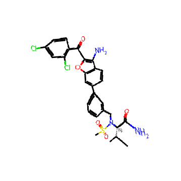 CC(C)[C@@H](C(N)=O)N(Cc1cccc(-c2ccc3c(N)c(C(=O)c4ccc(Cl)cc4Cl)oc3c2)c1)S(C)(=O)=O